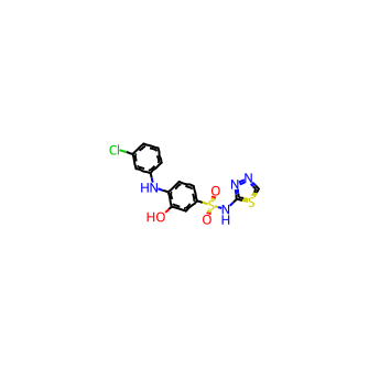 O=S(=O)(Nc1nncs1)c1ccc(Nc2cccc(Cl)c2)c(O)c1